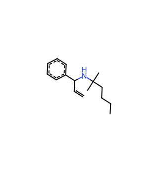 C=CC(NC(C)(C)CCCC)c1ccccc1